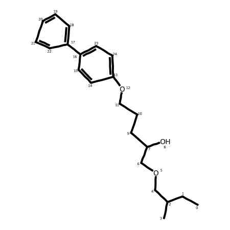 CCC(C)COCC(O)CCCOc1ccc(-c2ccccc2)cc1